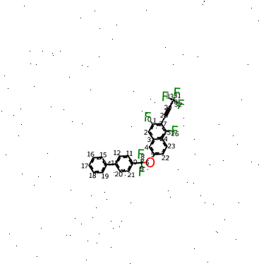 Fc1cc2cc(OC(F)(F)c3ccc(-c4ccccc4)cc3)ccc2c(F)c1C#CC(F)(F)F